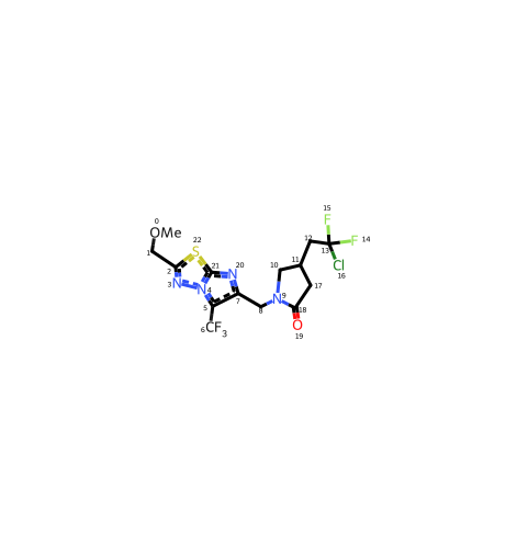 COCc1nn2c(C(F)(F)F)c(CN3CC(CC(F)(F)Cl)CC3=O)nc2s1